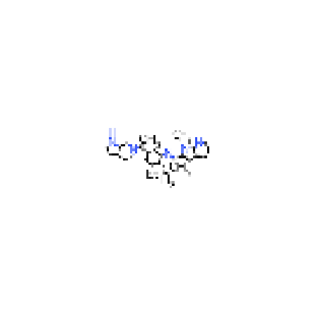 C=C(c1cc(CC)c(C)c(/N=C(\C)c2cc3cccnc3n2CC(F)(F)F)c1)N1CCC2CCNC2C1